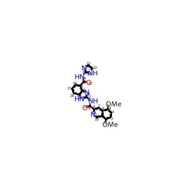 COc1ccc(OC)c2cc(C(=O)Nc3nc4c(C(=O)Nc5ncc[nH]5)cccc4[nH]3)ncc12